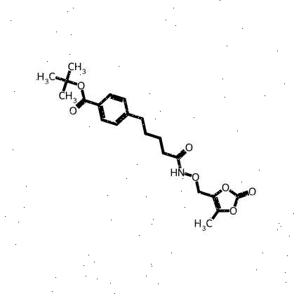 Cc1oc(=O)oc1CONC(=O)CCCCc1ccc(C(=O)OC(C)(C)C)cc1